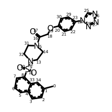 Cc1ccc2cccc(S(=O)(=O)N3CCN(C(=O)COc4ccc(-n5cnnn5)cc4)CC3)c2c1